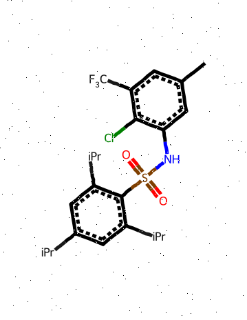 Cc1cc(NS(=O)(=O)c2c(C(C)C)cc(C(C)C)cc2C(C)C)c(Cl)c(C(F)(F)F)c1